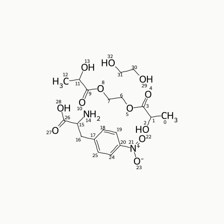 CC(O)C(=O)OCCOC(=O)C(C)O.NC(Cc1ccc([N+](=O)[O-])cc1)C(=O)O.OCCO